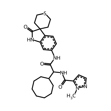 Cn1nccc1C(=O)NC(C(=O)Nc1ccc2c(c1)NC(=O)C21CCSCC1)C1CCCCCCC1